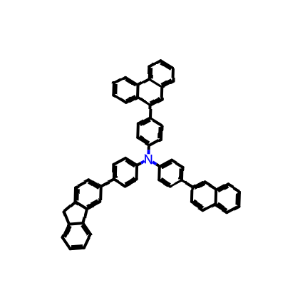 c1ccc2c(c1)Cc1ccc(-c3ccc(N(c4ccc(-c5ccc6ccccc6c5)cc4)c4ccc(-c5cc6ccccc6c6ccccc56)cc4)cc3)cc1-2